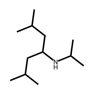 CC(C)CC(CC(C)C)NC(C)C